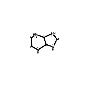 C1CNC2NNNC2N1